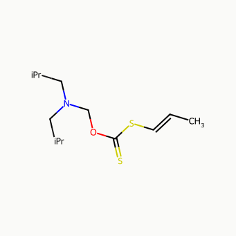 CC=CSC(=S)OCN(CC(C)C)CC(C)C